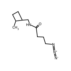 CC1CCC1CNC(=O)CCCN=[N+]=[N-]